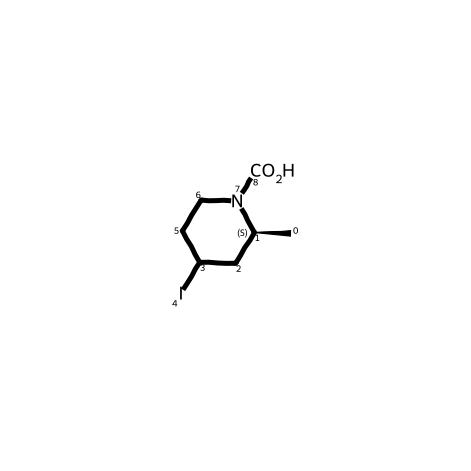 C[C@H]1CC(I)CCN1C(=O)O